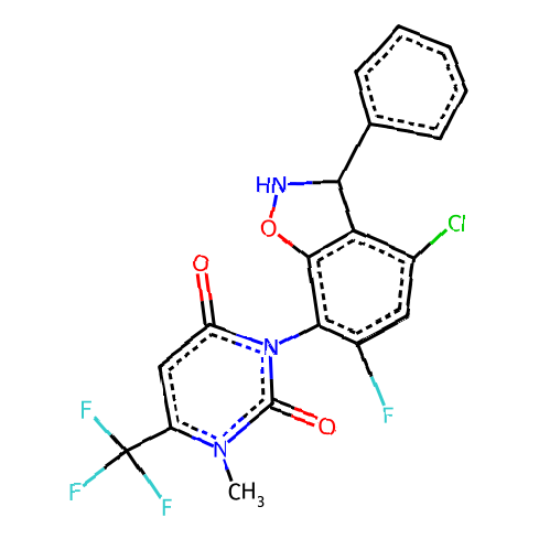 Cn1c(C(F)(F)F)cc(=O)n(-c2c(F)cc(Cl)c3c2ONC3c2ccccc2)c1=O